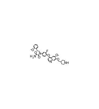 COc1ccccc1CCN(C(=O)C(N)=O)c1ccc(Oc2ccnc3cc(OCC4CCNCC4)c(OC)cc23)c(F)c1